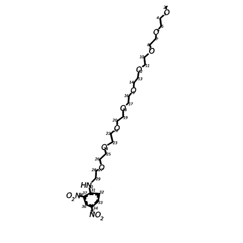 NCCOCCOCCOCCOCCOCCOCCOCCOCCOCCNc1ccc([N+](=O)[O-])cc1[N+](=O)[O-]